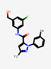 N#Cc1cccc(-n2nc(C(F)(F)F)cc2C(=O)Nc2cc(F)cc(CO)c2)c1